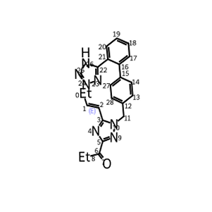 CC/C=C/c1nc(C(=O)CC)nn1Cc1ccc(-c2ccccc2-c2nnn[nH]2)cc1